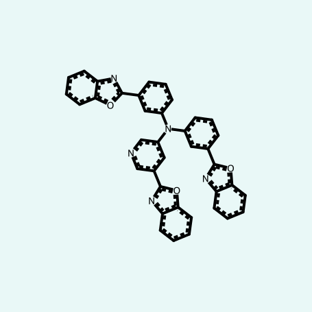 c1cc(-c2nc3ccccc3o2)cc(N(c2cccc(-c3nc4ccccc4o3)c2)c2cncc(-c3nc4ccccc4o3)c2)c1